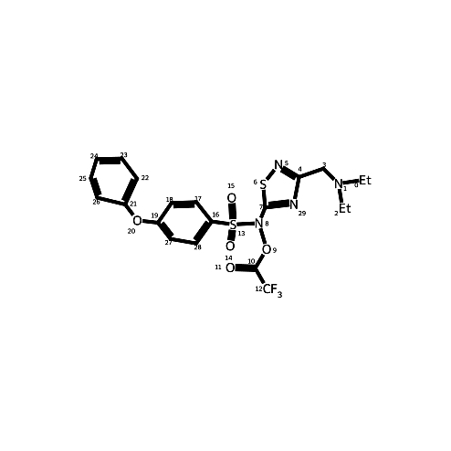 CCN(CC)Cc1nsc(N(OC(=O)C(F)(F)F)S(=O)(=O)c2ccc(Oc3ccccc3)cc2)n1